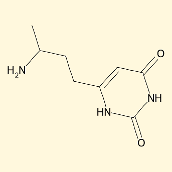 CC(N)CCc1cc(=O)[nH]c(=O)[nH]1